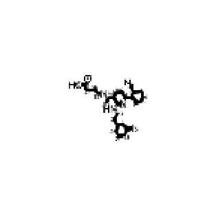 N#Cc1ccccc1-c1ccc(C(=O)NCCCC(=O)O)c(NCCc2cccc(F)c2)n1